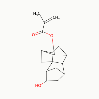 C=C(C)C(=O)OC1C2CC34C5CC(CC5O)C3C1CC24